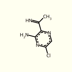 CC(=N)c1ncc(Cl)nc1N